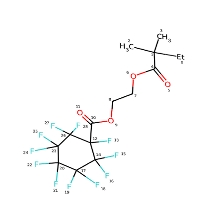 CCC(C)(C)C(=O)OCCOC(=O)C1(F)C(F)(F)C(F)(F)C(F)(F)C(F)(F)C1(F)F